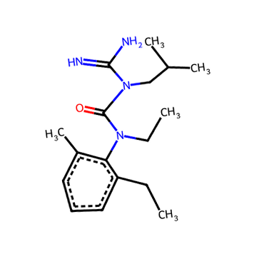 CCc1cccc(C)c1N(CC)C(=O)N(CC(C)C)C(=N)N